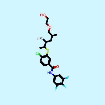 CCCC(CC(C)COCCO)C(C)Sc1cc(C(=O)Nc2cc(F)c(F)c(F)c2)ccc1Cl